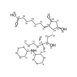 C1CCC(NC2CCCCC2)CC1.CCCCC(F)(F)C(O)CC[C@H]1[C@H](O)CC(=O)[C@@H]1CCCCCCC(=O)O